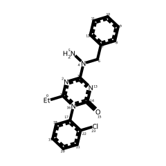 CCc1nc(N(N)Cc2ccccc2)nc(=O)n1-c1ccccc1Cl